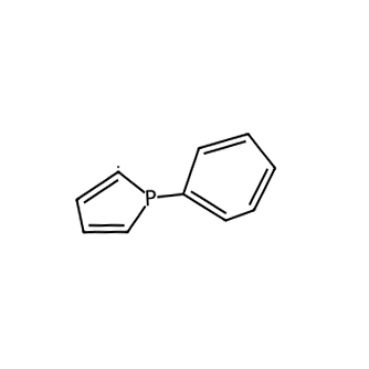 [c]1cccp1-c1ccccc1